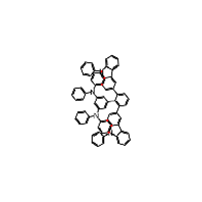 c1ccc(N(c2ccccc2)c2cc(-c3c(-c4ccc5c(c4)c4ccccc4n5-c4ccccc4)cccc3-c3ccc4c(c3)c3ccccc3n4-c3ccccc3)cc(N(c3ccccc3)c3ccccc3)c2)cc1